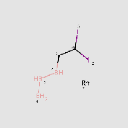 BBBCC(I)I.[Rh]